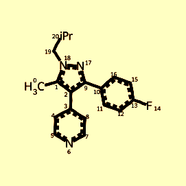 Cc1c(-c2ccncc2)c(-c2ccc(F)cc2)nn1CC(C)C